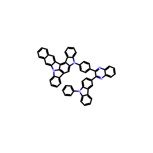 c1ccc(-n2c3ccccc3c3cc(-c4nc5ccccc5nc4-c4ccc(-n5c6ccccc6c6c7c8cc9ccccc9cc8n8c9ccccc9c(cc65)c78)cc4)ccc32)cc1